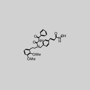 COc1cccc(CCN(Cc2ccc(C=CC(=O)NO)cc2)C(=O)NC(=O)c2ccccc2)c1OC